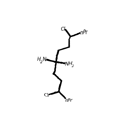 CCCC(Cl)CCC(N)(N)CCC(Cl)CCC